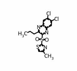 CCCc1nc2cc(Cl)c(Cl)cc2nc1S(=O)(=O)c1nc(C)cs1